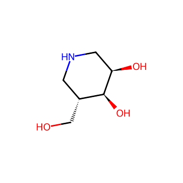 OC[C@@H]1CNC[C@@H](O)[C@H]1O